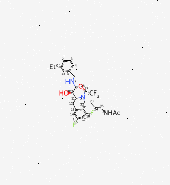 CCc1cccc(CNC[C@H](O)[C@H](Cc2cc(F)cc(F)c2)N(CCCCNC(C)=O)C(=O)C(F)(F)F)c1